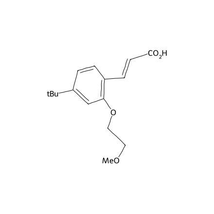 COCCOc1cc(C(C)(C)C)ccc1C=CC(=O)O